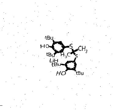 CC(C)(Sc1cc(C(C)(C)C)c(O)c(C(C)(C)C)c1)Sc1cc(C(C)(C)C)c(O)c(C(C)(C)C)c1.[LiH]